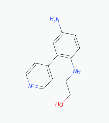 Nc1ccc(NCCO)c(-c2ccncc2)c1